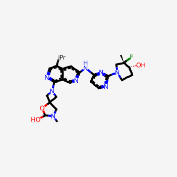 CC(C)c1cnc(N2CC3(C2)CN(C)C(O)O3)c2cnc(Nc3ccnc(N4CC[C@@H](O)[C@@](C)(F)C4)n3)cc12